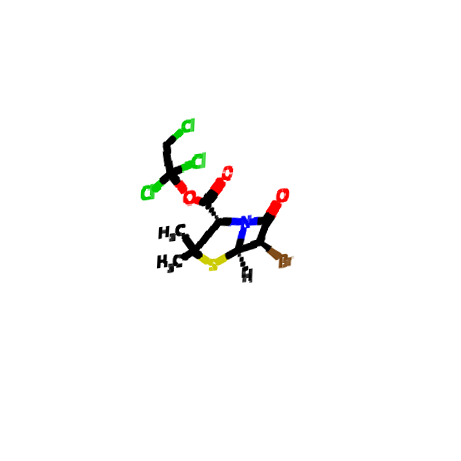 CC1(C)S[C@@H]2[C@H](Br)C(=O)N2[C@H]1C(=O)OC(Cl)(Cl)CCl